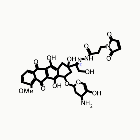 COc1cccc2c1C(=O)c1c(O)c3c(c(O)c1C2=O)CC(O)(/C(CO)=N/NC(=O)CCN1C(=O)C=CC1=O)CC3OC1CC(N)C(O)=CO1